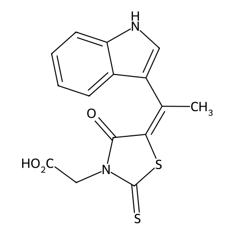 CC(=C1SC(=S)N(CC(=O)O)C1=O)c1c[nH]c2ccccc12